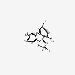 CC1=NCN(c2ccc(Cl)nc2)C(c2c(F)cc(F)cc2F)=C1